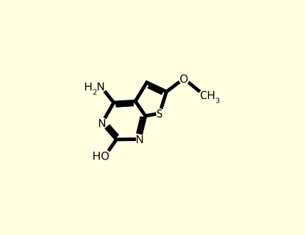 COc1cc2c(N)nc(O)nc2s1